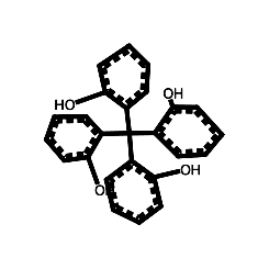 Oc1ccccc1C(c1ccccc1O)(c1ccccc1O)c1ccccc1O